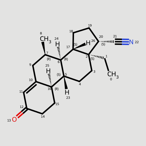 CC[C@]12CC[C@H]3[C@@H]([C@H](C)CC4=CC(=O)CC[C@@H]43)[C@@H]1CC[C@@H]2C#N